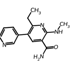 CCc1nc(NC)c(C(N)=O)cc1-c1cccnc1